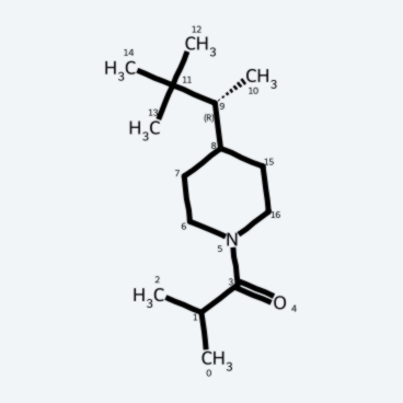 CC(C)C(=O)N1CCC([C@@H](C)C(C)(C)C)CC1